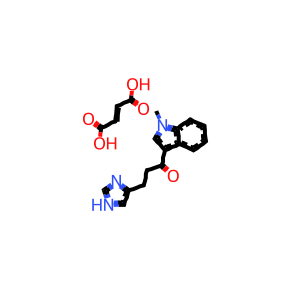 Cn1cc(C(=O)CCc2c[nH]cn2)c2ccccc21.O=C(O)C=CC(=O)O